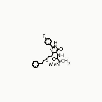 CN[C@@H](C)C(=O)Nc1c(CCSCCc2ccccc2)nc(-c2ccc(F)cc2)[nH]c1=O